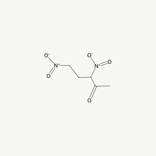 CC(=O)C(CC[N+](=O)[O-])[N+](=O)[O-]